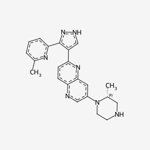 Cc1cccc(-c2n[nH]cc2-c2ccc3ncc(N4CCNC[C@H]4C)cc3n2)n1